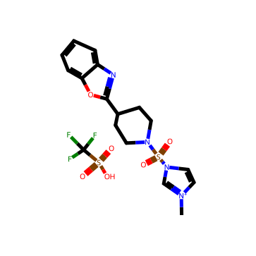 C[n+]1ccn(S(=O)(=O)N2CCC(c3nc4ccccc4o3)CC2)c1.O=S(=O)(O)C(F)(F)F